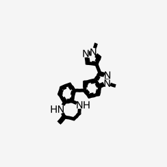 C=C1CCNc2c(cccc2-c2ccc3c(c2)c(-c2cnn(C)c2)nn3C)N1